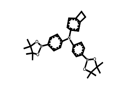 CC1(C)OB(c2ccc(N(c3ccc(B4OC(C)(C)C(C)(C)O4)cc3)c3ccc4c(c3)CC4)cc2)OC1(C)C